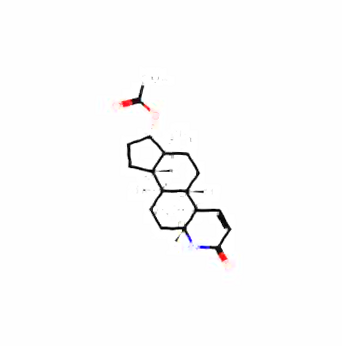 COC(=O)O[C@H]1CC[C@H]2[C@@H]3CC[C@H]4NC(=O)C=C[C@]4(C)[C@H]3CC[C@]12C